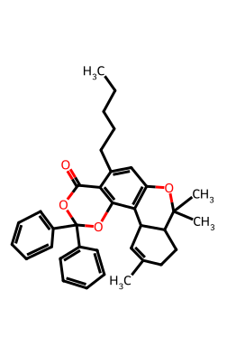 CCCCCc1cc2c(c3c1C(=O)OC(c1ccccc1)(c1ccccc1)O3)C1C=C(C)CCC1C(C)(C)O2